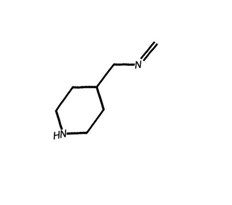 C=NCC1CCNCC1